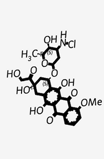 COc1cccc2c1C(=O)c1c(O)c3c(c(O)c1C2=O)C[C@@](O)(C(=O)CO)C[C@@H]3OC1CC(NCl)[C@H](O)[C@@H](C)O1